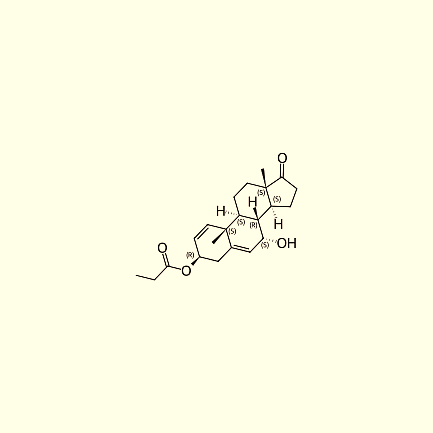 CCC(=O)O[C@H]1C=C[C@@]2(C)C(=C[C@@H](O)[C@@H]3[C@@H]2CC[C@]2(C)C(=O)CC[C@@H]32)C1